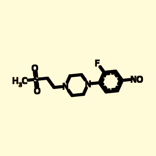 CS(=O)(=O)CCN1CCN(c2ccc(N=O)cc2F)CC1